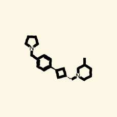 CC1CCCN(C[C@H]2C[C@H](c3ccc(CN4CCCC4)cc3)C2)C1